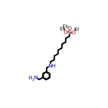 CCO[Si](CCCCCCCCCCNCc1cccc(CN)c1)(OCC)OCC